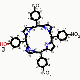 O=[N+]([O-])c1ccc(-c2c3nc(c(-c4ccc([N+](=O)[O-])cc4)c4ccc([nH]4)c(-c4ccc([N+](=O)[O-])cc4)c4nc(c(-c5ccc(O)cc5)c5ccc2[nH]5)C=C4)C=C3)cc1.[Ti]